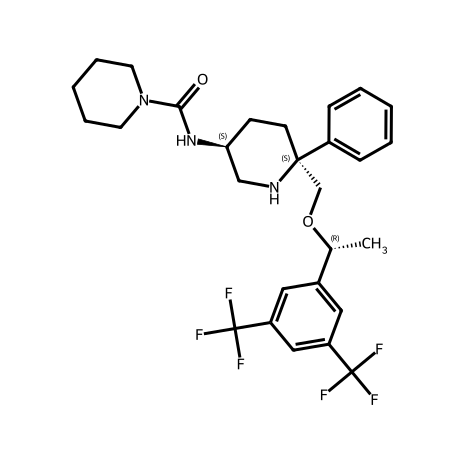 C[C@@H](OC[C@@]1(c2ccccc2)CC[C@H](NC(=O)N2CCCCC2)CN1)c1cc(C(F)(F)F)cc(C(F)(F)F)c1